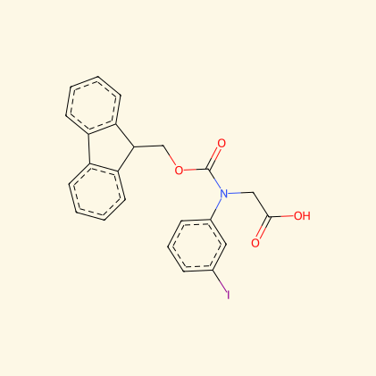 O=C(O)CN(C(=O)OCC1c2ccccc2-c2ccccc21)c1cccc(I)c1